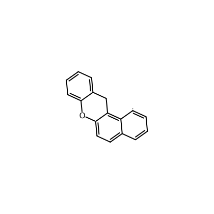 [c]1cccc2ccc3c(c12)Cc1ccccc1O3